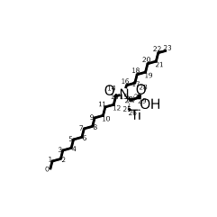 CCCCCCCCCCCCCC(=O)N(CCCCCCCC)[C@@H]([CH2][Ti])C(=O)O